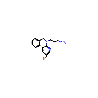 NCCCN(Cc1ccccc1)c1ccc(Br)cn1